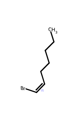 CCCCC/C=C\Br